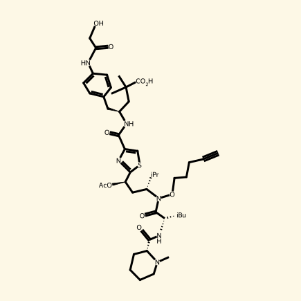 C#CCCCON(C(=O)[C@@H](NC(=O)[C@H]1CCCCN1C)[C@@H](C)CC)[C@H](C[C@@H](OC(C)=O)c1nc(C(=O)N[C@@H](Cc2ccc(NC(=O)CO)cc2)CC(C)(C)C(=O)O)cs1)C(C)C